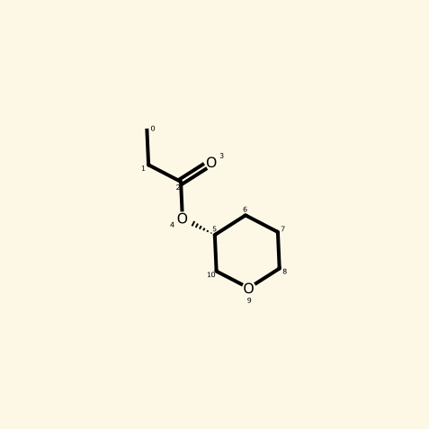 CCC(=O)O[C@@H]1CCCOC1